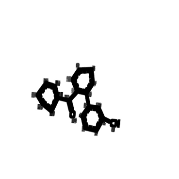 N#Cc1cccc(-c2ccccc2C(=O)c2ccccc2)c1